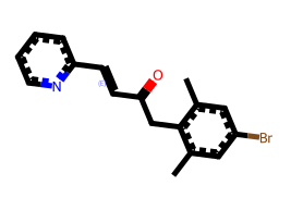 Cc1cc(Br)cc(C)c1CC(=O)/C=C/c1ccccn1